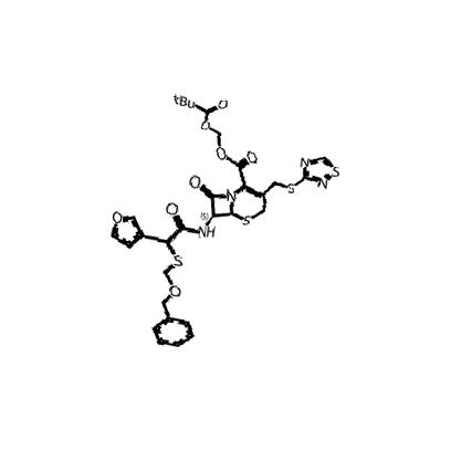 CC(C)(C)C(=O)OCOC(=O)C1=C(CSc2ncsn2)CSC2[C@@H](NC(=O)C(SCOCc3ccccc3)c3ccoc3)C(=O)N12